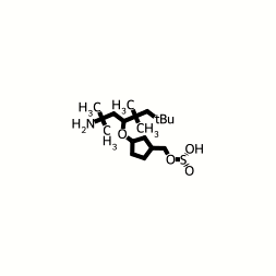 CC(C)(C)CC(C)(C)C(CC(C)(C)N)OC1CCC(COS(=O)O)C1